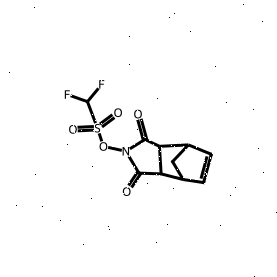 O=C1C2C3C=CC(C3)C2C(=O)N1OS(=O)(=O)C(F)F